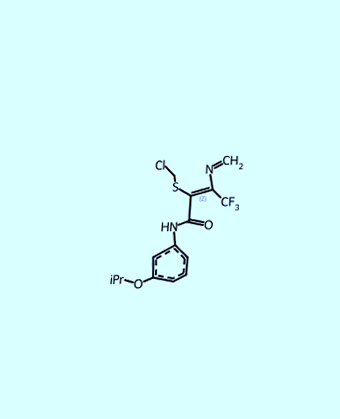 C=N/C(=C(\SCCl)C(=O)Nc1cccc(OC(C)C)c1)C(F)(F)F